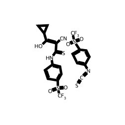 N#CC(C(=S)Nc1ccc(S(=O)(=O)C(F)(F)F)cc1)=C(O)C1CC1.O=S(=O)(c1ccc(N=C=S)cc1)C(F)(F)F